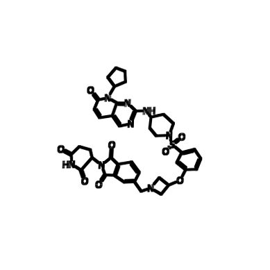 O=C1CCC(N2C(=O)c3ccc(CN4CC(Oc5cccc(S(=O)(=O)N6CCC(Nc7ncc8ccc(=O)n(C9CCCC9)c8n7)CC6)c5)C4)cc3C2=O)C(=O)N1